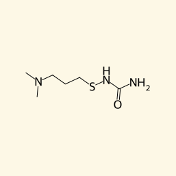 CN(C)CCCSNC(N)=O